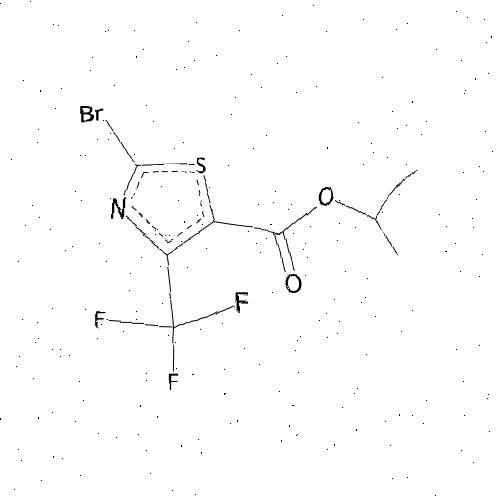 CC(C)OC(=O)c1sc(Br)nc1C(F)(F)F